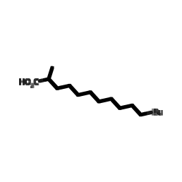 CCC(C)CCCCCCCCCC(C)C(=O)O